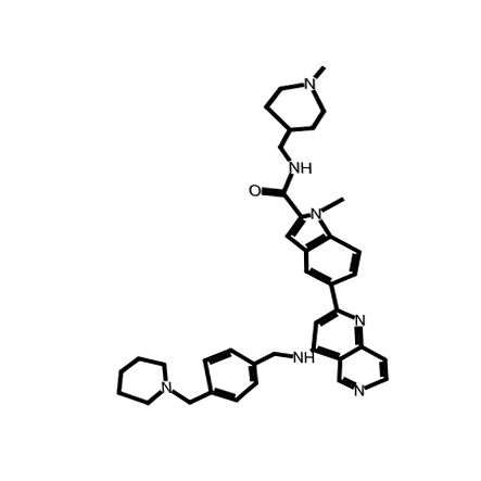 CN1CCC(CNC(=O)c2cc3cc(-c4cc(NCc5ccc(CN6CCCCC6)cc5)c5cnccc5n4)ccc3n2C)CC1